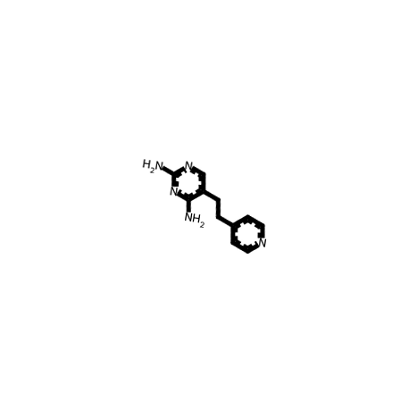 Nc1ncc(CCc2ccncc2)c(N)n1